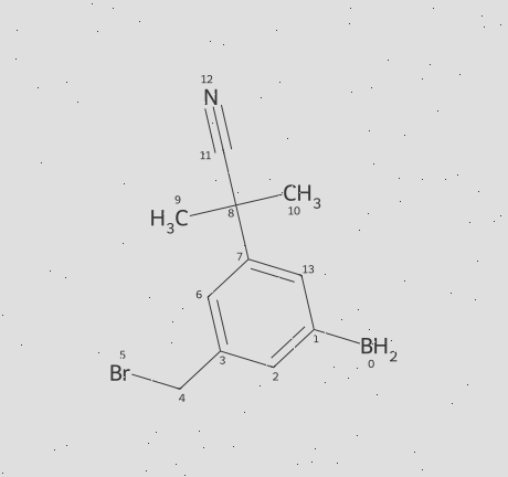 Bc1cc(CBr)cc(C(C)(C)C#N)c1